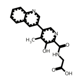 Cc1c(-c2cnc3ccccc3c2)cnc(C(=O)NCC(=O)O)c1O